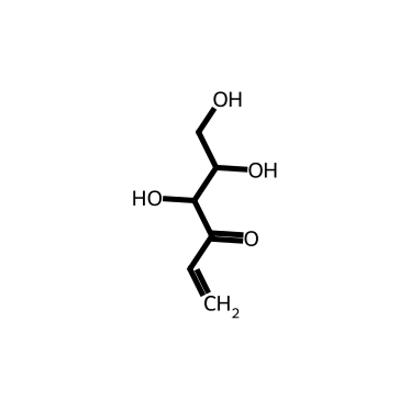 C=CC(=O)C(O)C(O)CO